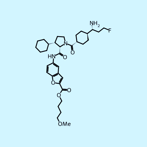 COCCCCOC(=O)c1cc2cc(NC(=O)[C@@H]3[C@H](C4CCCCC4)CCN3C(=O)[C@H]3CC[C@H]([C@H](N)CCF)CC3)ccc2o1